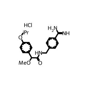 COC(C(=O)NCc1ccc(C(=N)N)cc1)c1ccc(OC(C)C)cc1.Cl